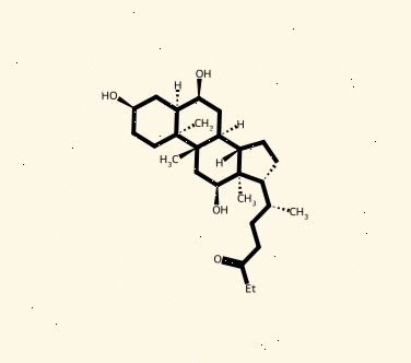 CCC(=O)CC[C@@H](C)[C@H]1CC[C@H]2[C@@H]3C[C@H](O)[C@@H]4C[C@H](O)CC[C@]4(C)[C@@]3(C)C[C@H](O)[C@]12C